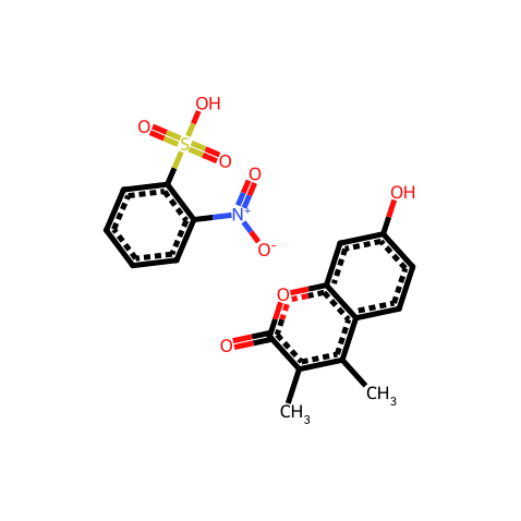 Cc1c(C)c2ccc(O)cc2oc1=O.O=[N+]([O-])c1ccccc1S(=O)(=O)O